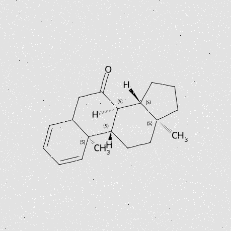 C[C@@]12CCC[C@H]1[C@@H]1C(=O)CC3C=CC=C[C@]3(C)[C@H]1CC2